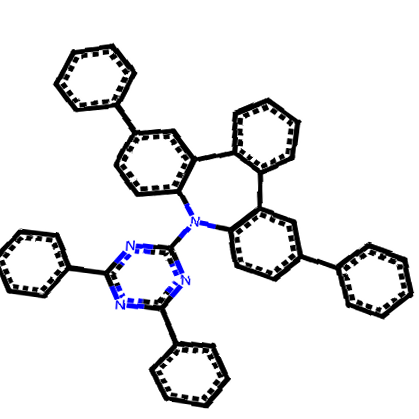 c1ccc(-c2ccc3c(c2)-c2ccccc2-c2cc(-c4ccccc4)ccc2N3c2nc(-c3ccccc3)nc(-c3ccccc3)n2)cc1